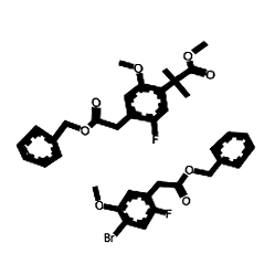 COC(=O)C(C)(C)c1cc(F)c(CC(=O)OCc2ccccc2)cc1OC.COc1cc(CC(=O)OCc2ccccc2)c(F)cc1Br